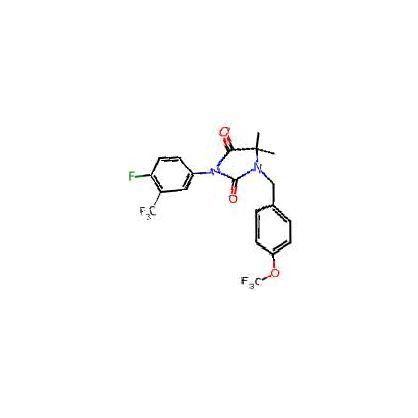 CC1(C)C(=O)N(c2ccc(F)c(C(F)(F)F)c2)C(=O)N1Cc1ccc(OC(F)(F)F)cc1